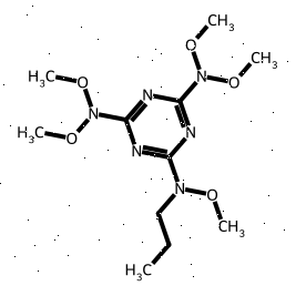 CCCN(OC)c1nc(N(OC)OC)nc(N(OC)OC)n1